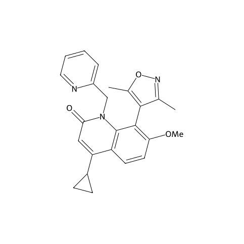 COc1ccc2c(C3CC3)cc(=O)n(Cc3ccccn3)c2c1-c1c(C)noc1C